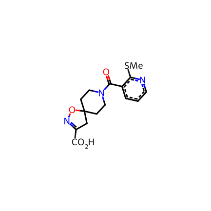 CSc1ncccc1C(=O)N1CCC2(CC1)CC(C(=O)O)=NO2